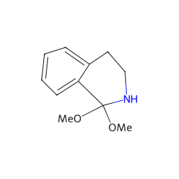 COC1(OC)NCCc2ccccc21